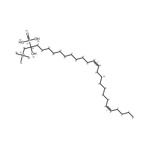 CCCC/C=C\CCCCCC/C=C\CCCCCCCCCCC(O)(C[N+](C)(C)C)P(=O)(O)O